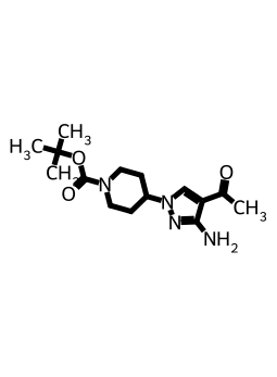 CC(=O)c1cn(C2CCN(C(=O)OC(C)(C)C)CC2)nc1N